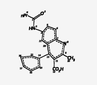 CCCC(=O)Nc1ccc2nc(C)c(C(=O)O)c(-c3ccccc3)c2c1